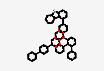 c1ccc(-c2ccc(-c3ccc(N(c4ccc(-c5cccc6sc7ccccc7c56)cc4)c4cccc(-c5ccccc5)c4-c4ccccc4-c4ccccc4)cc3)cc2)cc1